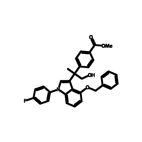 COC(=O)c1ccc(C(C)(CO)c2cn(-c3ccc(F)cc3)c3cccc(OCc4ccccc4)c23)cc1